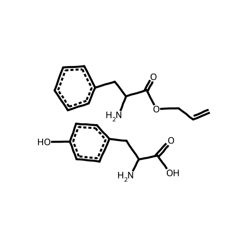 C=CCOC(=O)C(N)Cc1ccccc1.NC(Cc1ccc(O)cc1)C(=O)O